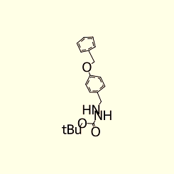 CC(C)(C)OC(=O)NNCc1ccc(OCc2ccccc2)cc1